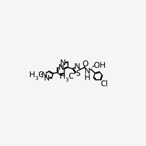 Cc1sc(C(=O)N[C@H](CO)c2ccc(Cl)cc2)nc1-c1cnn2cc(-c3cnn(C)c3)ccc12